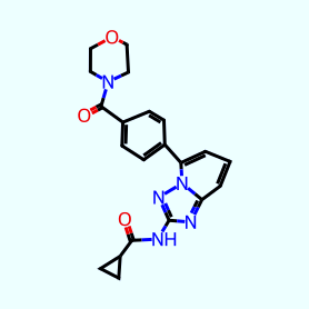 O=C(Nc1nc2cccc(-c3ccc(C(=O)N4CCOCC4)cc3)n2n1)C1CC1